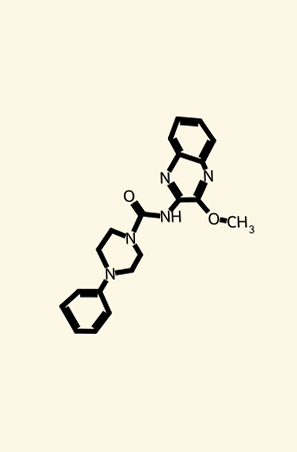 COc1nc2ccccc2nc1NC(=O)N1CCN(c2ccccc2)CC1